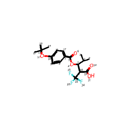 CC(C)C(OC(=O)c1ccc(OC(C)(C)C)cc1)C(C(=O)O)C(F)(F)F